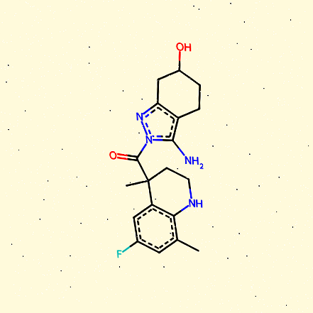 Cc1cc(F)cc2c1NCCC2(C)C(=O)n1nc2c(c1N)CCC(O)C2